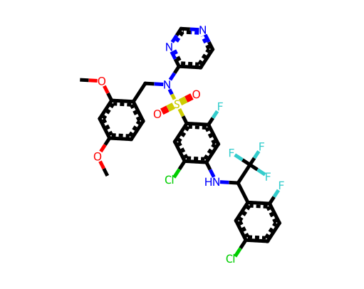 COc1ccc(CN(c2ccncn2)S(=O)(=O)c2cc(Cl)c(NC(c3cc(Cl)ccc3F)C(F)(F)F)cc2F)c(OC)c1